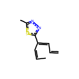 C=C/C=C(\C=C/C)c1nnc(C)s1